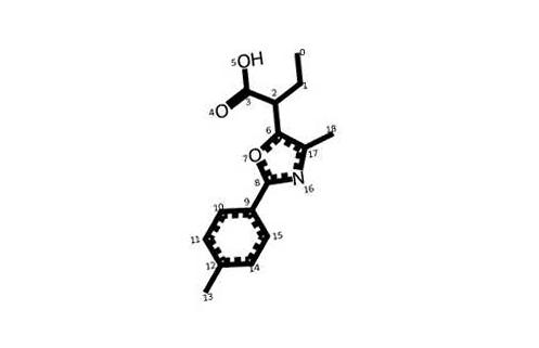 CCC(C(=O)O)c1oc(-c2ccc(C)cc2)nc1C